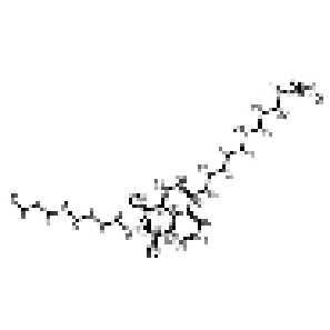 CCCCCCCCCCN1C(=O)c2cccc3c(CCCCCCCCCCN)ccc(c23)C1=O